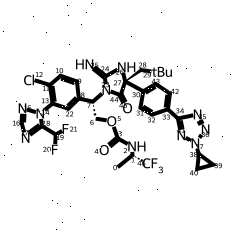 C[C@H](NC(=O)OC[C@H](c1ccc(Cl)c(-n2ncnc2C(F)F)c1)N1C(=N)N[C@](CC(C)(C)C)(c2ccc(-c3nnn(C4CC4)n3)cc2)C1=O)C(F)(F)F